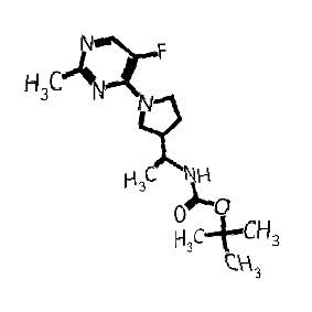 Cc1ncc(F)c(N2CCC(C(C)NC(=O)OC(C)(C)C)C2)n1